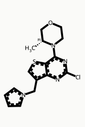 C[C@@H]1COCCN1c1nc(Cl)nc2c(Cn3cccc3)csc12